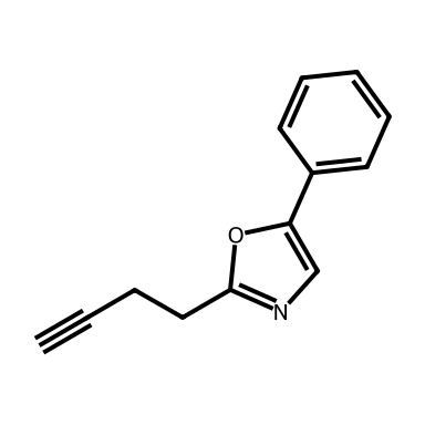 C#CCCc1ncc(-c2ccccc2)o1